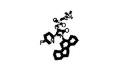 C[Si](C)(C)CCS(=O)(=O)O[C@@H]1C(=O)N(c2cc3c4ccccc4ccc3c3ccccc23)[C@H]1c1ccc(F)cn1